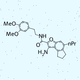 CCCc1cc2oc(C(=O)NCCc3ccc(OC)c(OC)c3)c(N)c2c2c1CCC2